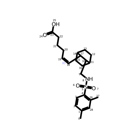 Cc1ccc(S(=O)(=O)NCC2C3CCC(CC3)C2/C=C\CCCC(=O)O)c(C)c1